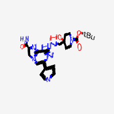 CC(C)(C)OC(=O)N1CCC(O)(CNc2nc(-c3ccncc3)cn3cc(C(N)=O)nc23)CC1